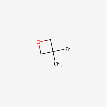 CC(C)C1(C(F)(F)F)COC1